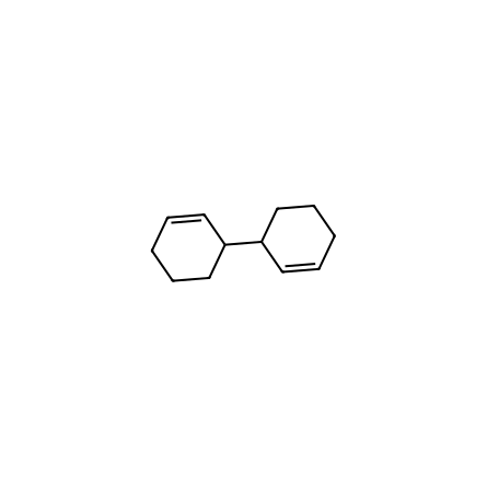 C1=CC(C2C=CCCC2)CCC1